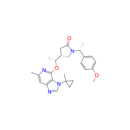 COc1ccc([C@@H](C)N2C[C@H]([C@@H](C)Oc3nc(C)cc4ncn(C5(C)CC5)c34)CC2=O)cc1